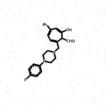 CC(C)C1=CC=C(CN2CCN(c3ccc(F)cc3)CC2)C(C=O)C(O)=C1